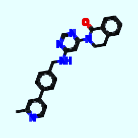 Cc1cc(-c2ccc(CNc3cc(N4CCc5ccccc5C4=O)ncn3)cc2)ccn1